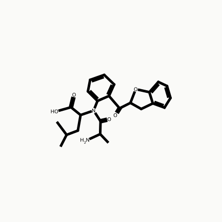 CC(C)CC(C(=O)O)N(C(=O)C(C)N)c1ccccc1C(=O)C1Cc2ccccc2O1